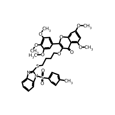 COc1cc(OC)c2c(=O)c(OCCCCSc3nc4ccccc4n3S(=O)(=O)c3ccc(C)cc3)c(-c3cc(OC)c(OC)c(OC)c3)oc2c1